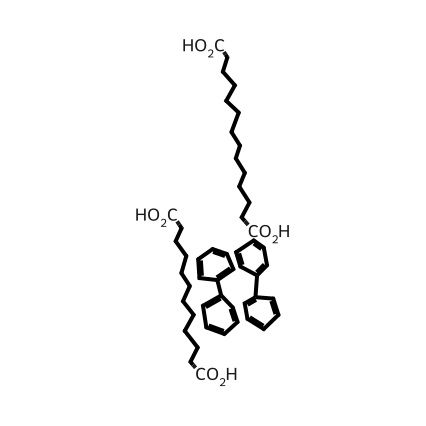 O=C(O)CCCCCCCCCCC(=O)O.O=C(O)CCCCCCCCCCCCC(=O)O.c1ccc(-c2ccccc2)cc1.c1ccc(-c2ccccc2)cc1